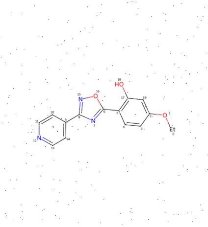 CCOc1ccc(-c2nc(-c3ccncc3)no2)c(O)c1